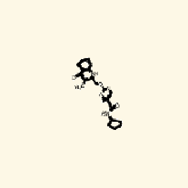 Cc1c(COc2ncc(C(=O)NC3CCCC3)cn2)[nH]c2ccccc2c1=O